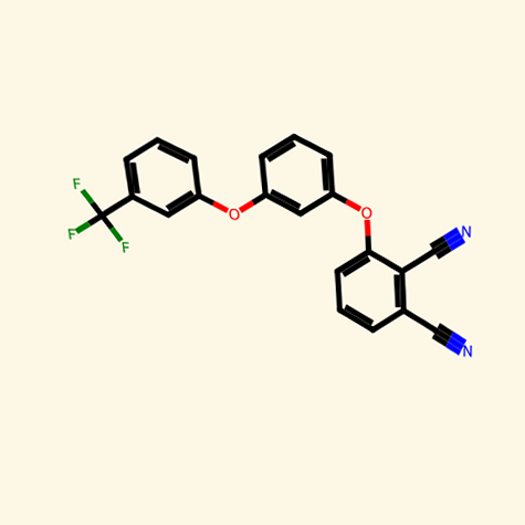 N#Cc1cccc(Oc2cccc(Oc3cccc(C(F)(F)F)c3)c2)c1C#N